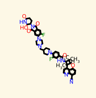 CC1(C)C(NC(=O)c2ccc(N3CCC(CN4CCN(c5cc6c(cc5F)C(=O)N(C5CCC(=O)NC5O)C6=O)CC4)CC3)c(F)c2)C2(C)c3ccnc4c(C#N)ccc(c34)O[C@@H]12